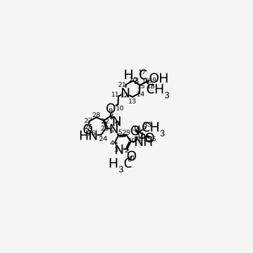 COc1ncc(-n2nc(OCCN3CCC(C(C)(C)O)CC3)c3c2CNOCC3)cc1NS(C)(=O)=O